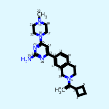 C=C(C1CCC1)N1CCc2ccc(-c3cc(N4CCN(C)CC4)nc(N)n3)cc2C1